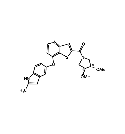 CO[C@H]1CN(C(=O)c2cc3nccc(Oc4ccc5[nH]c(C)cc5c4)c3s2)C[C@@H]1OC